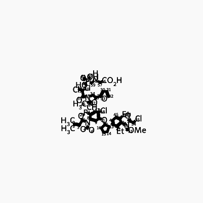 CC(C)=C1OC(=O)N(c2cc(OC3CCCC3)c(Cl)cc2F)C1=O.CC1(C)OC(c2ccco2)CN1C(=O)C(Cl)Cl.CCc1cccc(CC)c1N(COC)C(=O)CCl.O=C(O)CNCP(=O)(O)O